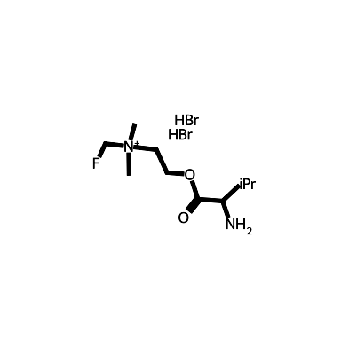 Br.Br.CC(C)C(N)C(=O)OCC[N+](C)(C)CF